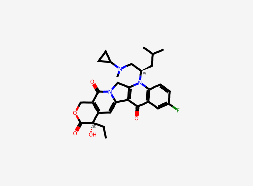 CC[C@@]1(O)C(=O)OCc2c1cc1n(c2=O)Cc2c-1c(=O)c1cc(F)ccc1n2[C@H](CC(C)C)CN(C)C1CC1